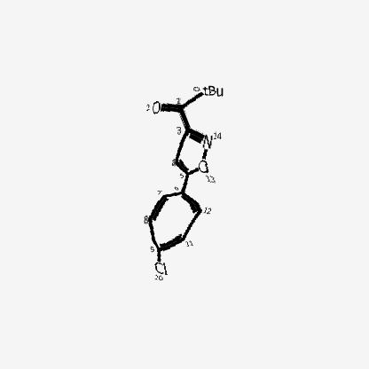 CC(C)(C)C(=O)c1cc(-c2ccc(Cl)cc2)on1